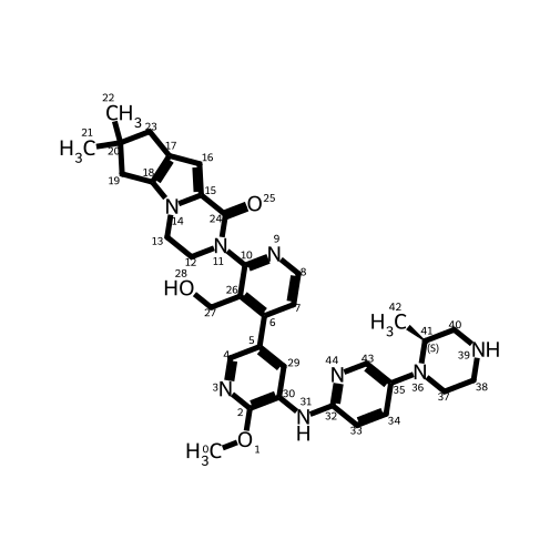 COc1ncc(-c2ccnc(N3CCn4c(cc5c4CC(C)(C)C5)C3=O)c2CO)cc1Nc1ccc(N2CCNC[C@@H]2C)cn1